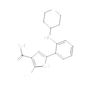 Cc1[nH]c(-c2ccccc2NC2CCSCC2)cc1C(N)=O